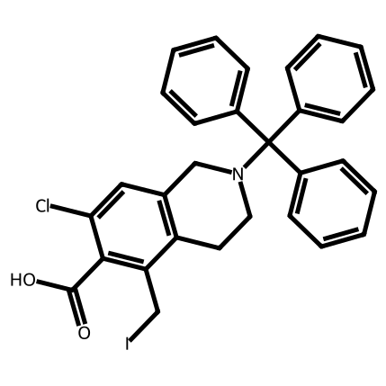 O=C(O)c1c(Cl)cc2c(c1CI)CCN(C(c1ccccc1)(c1ccccc1)c1ccccc1)C2